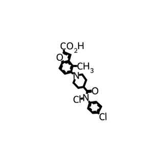 Cc1c(N2CCC(C(=O)N(Cl)c3ccc(Cl)cc3)CC2)ccc2oc(C(=O)O)cc12